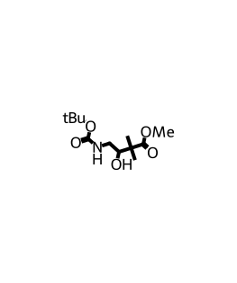 COC(=O)C(C)(C)C(O)CNC(=O)OC(C)(C)C